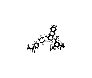 O=C(C1CC1)N1CCC(N2CCN(CC3CCN(C(=O)c4cc(C(F)(F)F)cc(C(F)(F)F)c4)C(Cc4ccccc4)C3)CC2)CC1